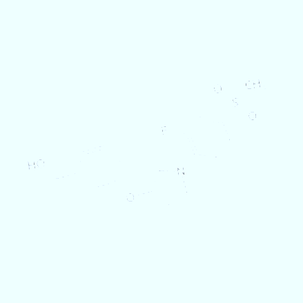 CS(=O)(=O)c1ccc(N2CCC(Oc3cccc(CO)c3)C2)c(F)c1